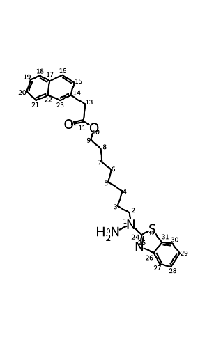 NN(CCCCCCCCOC(=O)Cc1ccc2ccccc2c1)c1nc2ccccc2s1